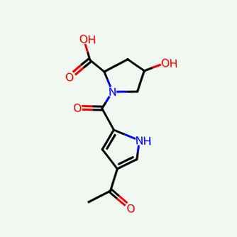 CC(=O)c1c[nH]c(C(=O)N2CC(O)CC2C(=O)O)c1